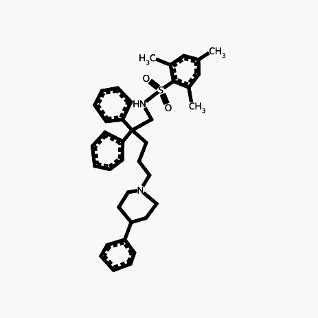 Cc1cc(C)c(S(=O)(=O)NCC(CCCN2CCC(c3ccccc3)CC2)(c2ccccc2)c2ccccc2)c(C)c1